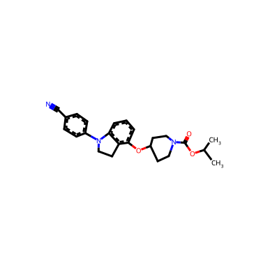 CC(C)OC(=O)N1CCC(Oc2cccc3c2CCN3c2ccc(C#N)cc2)CC1